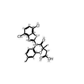 Cc1ccc2c(c1)OC(C)(CC(=O)O)C(=O)N2c1nc2c(Cl)ccc(Cl)c2s1